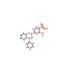 COc1cc(C(Cc2ccccc2)OCc2ccccc2)ccc1C(=O)O